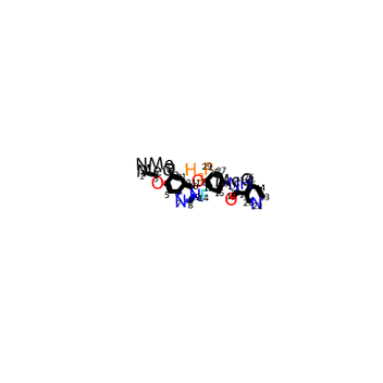 CNCCOc1cc2ncnc(Oc3c(F)cc(NC(=O)c4cnccc4OC)cc3P)c2cc1OC